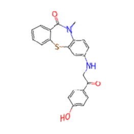 CN1C(=O)c2ccccc2Sc2cc(NCC(=O)c3ccc(O)cc3)ccc21